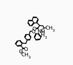 COC(=O)c1ccccc1Cc1ccc(COc2ccccc2NC(=O)C(CC(C)C)c2cccc3ccccc23)cc1